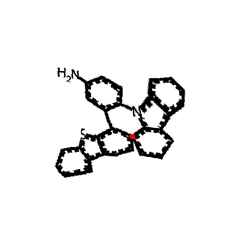 Nc1ccc(-n2c3ccccc3c3ccccc32)c(-c2cccc3c2sc2ccccc23)c1